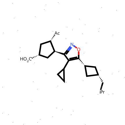 CC(=O)[C@H]1C[C@@H](C(=O)O)C[C@@H]1c1noc([C@H]2C[C@@H](CC(C)C)C2)c1C1CC1